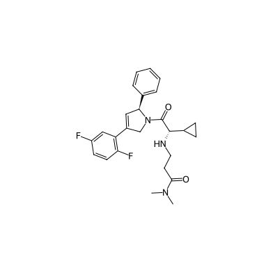 CN(C)C(=O)CCN[C@H](C(=O)N1CC(c2cc(F)ccc2F)=C[C@H]1c1ccccc1)C1CC1